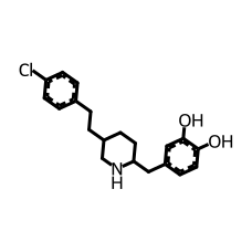 Oc1ccc(CC2CCC(CCc3ccc(Cl)cc3)CN2)cc1O